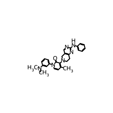 Cc1ccn(-c2cccc(N(C)C)c2)c(=O)c1N1CCc2nc(Nc3ccccc3)ncc2C1